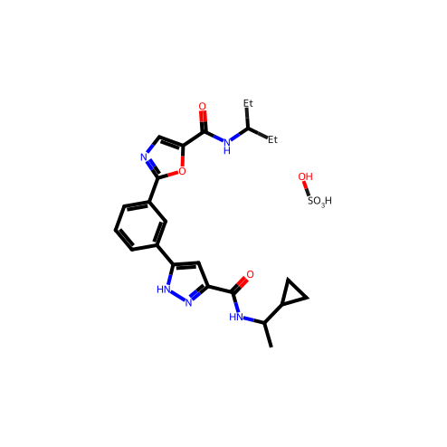 CCC(CC)NC(=O)c1cnc(-c2cccc(-c3cc(C(=O)NC(C)C4CC4)n[nH]3)c2)o1.O=S(=O)(O)O